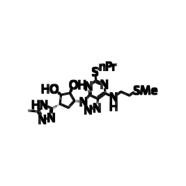 CCCSc1nc(NCCSC)c2nnn([C@@H]3C[C@H](c4nnc(C)[nH]4)[C@@H](O)[C@H]3O)c2n1